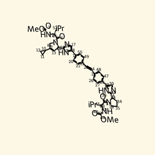 COC(=O)N[C@H](C(=O)N1CC(C2CC2)=C[C@H]1c1ncc(-c2ccc(C#Cc3ccc(-c4cnc([C@@H]5CCCN5C(=O)[C@@H](NC(=O)OC)C(C)C)[nH]4)cc3)cc2)[nH]1)C(C)C